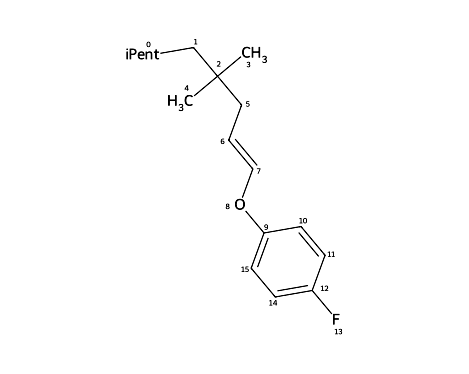 CCCC(C)CC(C)(C)CC=COc1ccc(F)cc1